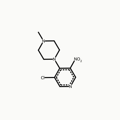 CN1CCN(c2c(Cl)cncc2[N+](=O)[O-])CC1